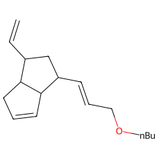 C=CC1CC(C=CCOCCCC)C2C=CCC12